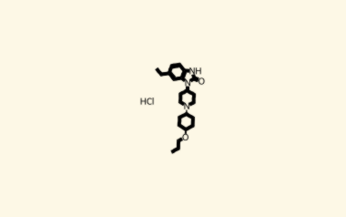 CCCO[C@H]1CC[C@H](N2CCC(n3c(=O)[nH]c4ccc(CC)cc43)CC2)CC1.Cl